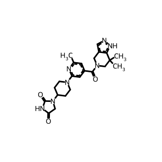 Cc1cc(C(=O)N2Cc3cn[nH]c3C(C)(C)C2)cc(N2CCC(N3CC(=O)NC3=O)CC2)n1